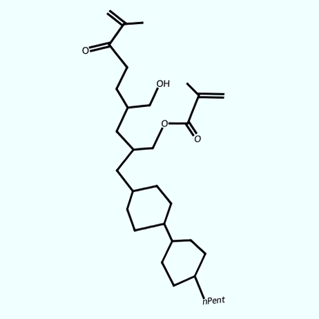 C=C(C)C(=O)CCC(CO)CC(COC(=O)C(=C)C)CC1CCC(C2CCC(CCCCC)CC2)CC1